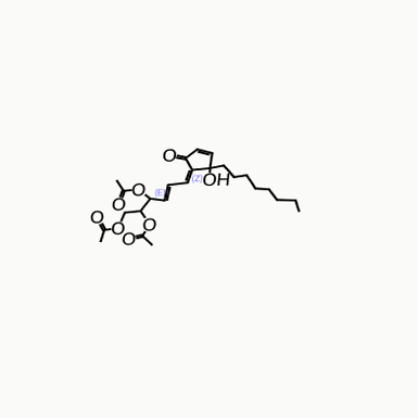 CCCCCCCCC1(O)C=CC(=O)/C1=C\C=C\C(OC(C)=O)C(COC(C)=O)OC(C)=O